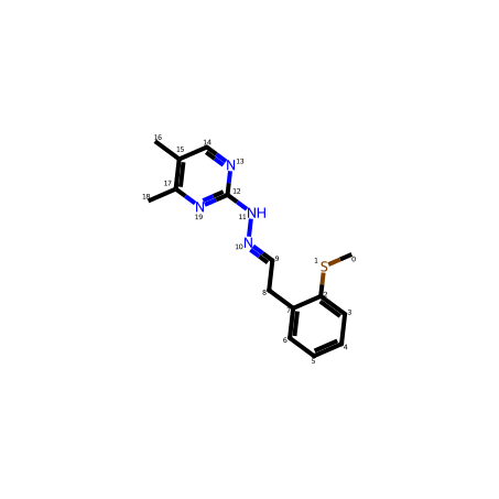 CSc1ccccc1CC=NNc1ncc(C)c(C)n1